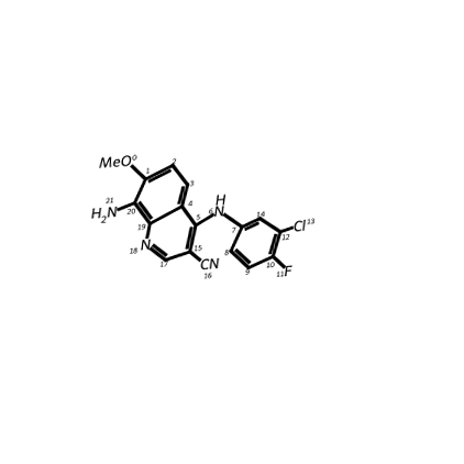 COc1ccc2c(Nc3ccc(F)c(Cl)c3)c(C#N)cnc2c1N